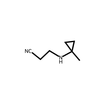 CC1(NCCC#N)CC1